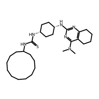 CN(C)c1nc(N[C@H]2CC[C@@H](NC(=S)NC3CCCCCCCCCCC3)CC2)nc2c1CCCC2